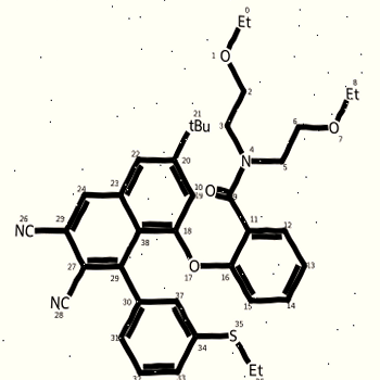 CCOCCN(CCOCC)C(=O)c1ccccc1Oc1cc(C(C)(C)C)cc2cc(C#N)c(C#N)c(-c3cccc(SCC)c3)c12